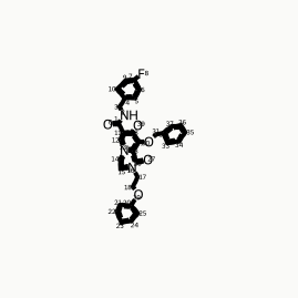 O=C(NCc1ccc(F)cc1)c1cn2ccn(CCOc3ccccc3)c(=O)c2c(OCc2ccccc2)c1=O